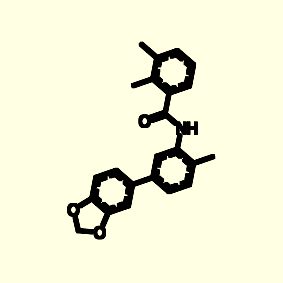 Cc1ccc(-c2ccc3c(c2)OCO3)cc1NC(=O)c1cccc(C)c1C